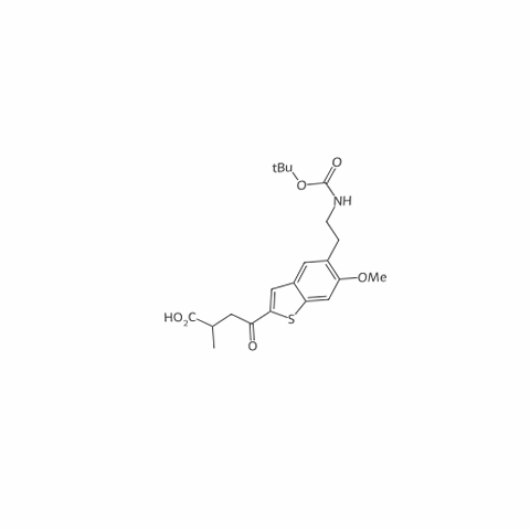 COc1cc2sc(C(=O)CC(C)C(=O)O)cc2cc1CCNC(=O)OC(C)(C)C